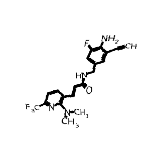 C#Cc1cc(CNC(=O)/C=C/c2ccc(C(F)(F)F)nc2N(C)C)cc(F)c1N